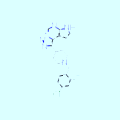 Fc1cc(Cl)ccc1CN1CCC(c2nnn3cnc4[nH]ccc4c23)CC1